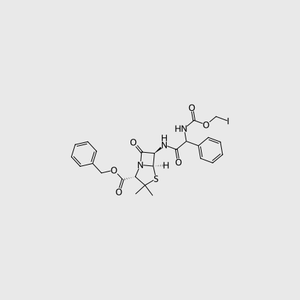 CC1(C)S[C@@H]2[C@H](NC(=O)C(NC(=O)OCI)c3ccccc3)C(=O)N2[C@H]1C(=O)OCc1ccccc1